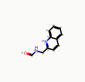 O=[C]NCc1ccc2ccccc2n1